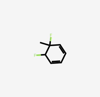 CC1(F)C=CC=CC1F